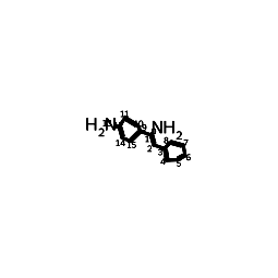 NC(=Cc1ccccc1)c1ccc(N)cc1